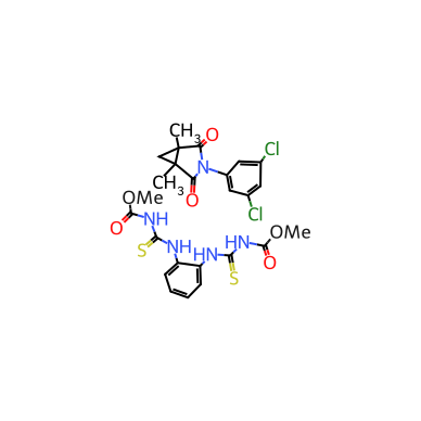 CC12CC1(C)C(=O)N(c1cc(Cl)cc(Cl)c1)C2=O.COC(=O)NC(=S)Nc1ccccc1NC(=S)NC(=O)OC